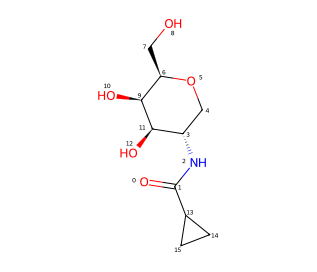 O=C(N[C@H]1CO[C@H](CO)[C@H](O)[C@@H]1O)C1CC1